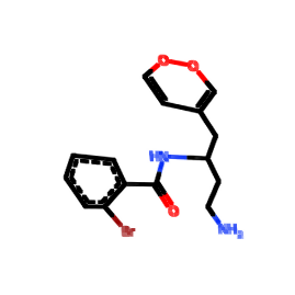 NCCC(CC1=COOC=C1)NC(=O)c1ccccc1Br